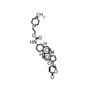 CN1CCN(CCOC(=O)N[C@H]2CC[C@@]3(C)[C@H](CC[C@@H]4[C@@H]3CC[C@]3(C)[C@@H](c5ccc(=O)oc5)CC[C@]43O)C2)CC1